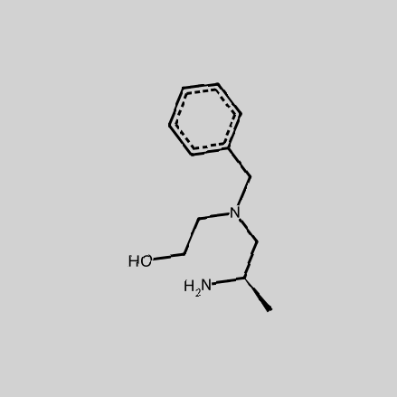 C[C@@H](N)CN(CCO)Cc1ccccc1